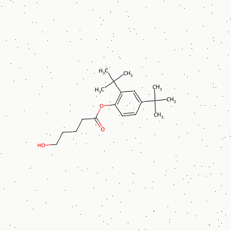 CC(C)(C)c1ccc(OC(=O)CCCCO)c(C(C)(C)C)c1